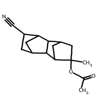 CC(=O)OC1(C)CC2CC1C1C3CC(C#N)C(C3)C21